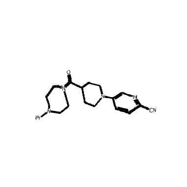 CC(C)N1CCN(C(=O)C2CCN(c3ccc(C#N)nc3)CC2)CC1